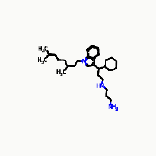 CC(C)=CCCC(C)=CCn1cc(C(CCNCCCN)C2CCCCC2)c2ccccc21